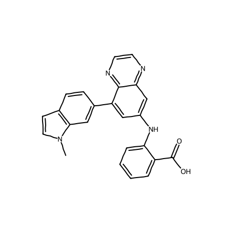 Cn1ccc2ccc(-c3cc(Nc4ccccc4C(=O)O)cc4nccnc34)cc21